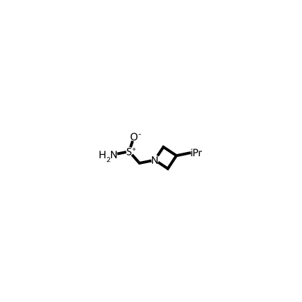 CC(C)C1CN(C[S+](N)[O-])C1